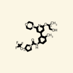 Cc1ccc(NC(=O)N2CC[C@H](OC(F)(F)F)C2)cc1-c1cc(O[C@@H](C)CO)nc(N2CCOCC2)c1